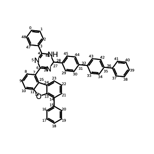 c1ccc(C2=NC(c3cccc4oc5c(-c6ccccc6)cccc5c34)=NC(c3ccc(-c4ccc(-c5ccccc5)cc4)cc3)N2)cc1